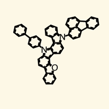 c1ccc(-c2ccc(-n3c4ccc5c6ccccc6oc5c4c4ccc5c(c6ccccc6n5-c5ccc6c7c(cccc57)-c5ccccc5-6)c43)cc2)cc1